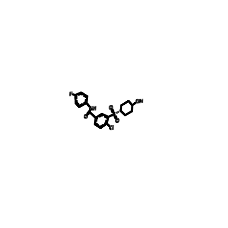 O=C(Nc1ccc(F)cc1)c1ccc(Cl)c(S(=O)(=O)[C@H]2CC[C@H](O)CC2)c1